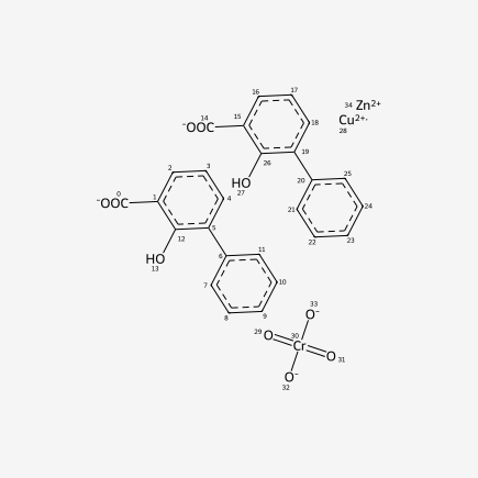 O=C([O-])c1cccc(-c2ccccc2)c1O.O=C([O-])c1cccc(-c2ccccc2)c1O.[Cu+2].[O]=[Cr](=[O])([O-])[O-].[Zn+2]